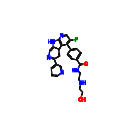 O=C(NCCNCCO)c1ccc(-c2c(F)cnc3[nH]c4cnc(-c5cccnc5)cc4c23)cc1